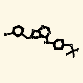 FC(F)(F)Oc1ccc(Nc2ncnc3nn(Cc4cccc(Br)c4)cc23)cc1